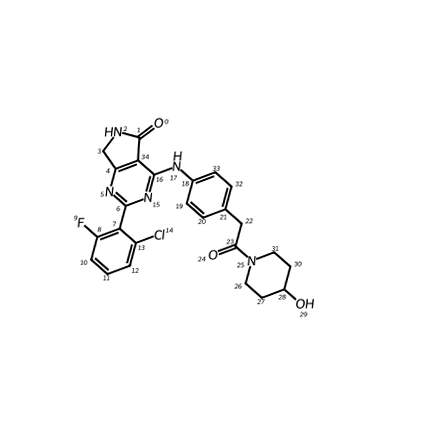 O=C1NCc2nc(-c3c(F)cccc3Cl)nc(Nc3ccc(CC(=O)N4CCC(O)CC4)cc3)c21